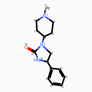 CC(C)N1CCC(N2CC(c3ccccc3)NC2=O)CC1